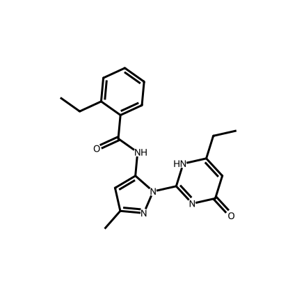 CCc1cc(=O)nc(-n2nc(C)cc2NC(=O)c2ccccc2CC)[nH]1